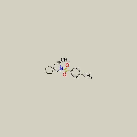 Cc1ccc(S(=O)(=O)N2CC3(CCCC3)C[C@H]2C)cc1